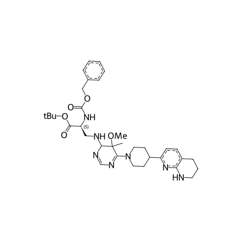 COC1(C)C(N2CCC(c3ccc4c(n3)NCCC4)CC2)=NC=NC1NC[C@H](NC(=O)OCc1ccccc1)C(=O)OC(C)(C)C